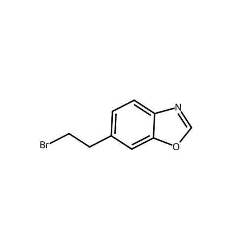 BrCCc1ccc2ncoc2c1